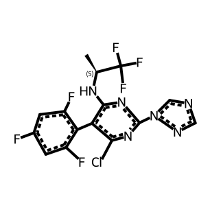 C[C@H](Nc1nc(-n2cncn2)nc(Cl)c1-c1c(F)cc(F)cc1F)C(F)(F)F